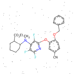 CCOC(=O)C1CCCCC1N(C)c1c(F)c(F)nc(Oc2cc(C#N)ccc2OCc2ccccc2)c1F